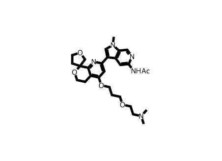 CC(=O)Nc1cc2c(-c3cc(OCCCOCCN(C)C)c4c(n3)C3(CCOC3)OCC4)cn(C)c2cn1